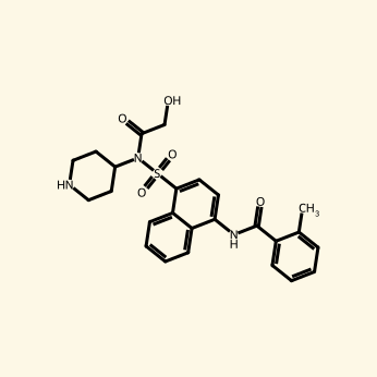 Cc1ccccc1C(=O)Nc1ccc(S(=O)(=O)N(C(=O)CO)C2CCNCC2)c2ccccc12